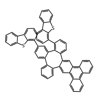 c1ccc2c(c1)-c1cc3c4ccccc4c4ccccc4c3cc1-c1cccc(-c3cccc4c3sc3ccccc34)c1-c1cc(-c3cccc4c3sc3ccccc34)ccc1-2